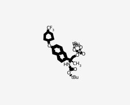 CC(C)(C)OC(=O)N[C@@](C)(COP(=O)(OC(C)(C)C)OC(C)(C)C)c1ccc2cc(OC3CCC(C(F)(F)F)CC3)ccc2c1